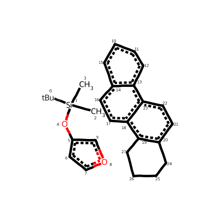 CC(C)(C)[Si](C)(C)Oc1ccoc1.c1ccc2c(c1)ccc1c3c(ccc12)CCCC3